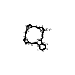 C1=Cc2cc3ccc(cc4nc(cc5ccc(cc1n2)[nH]5)-c1ccccc1-4)[nH]3.[Zn+]